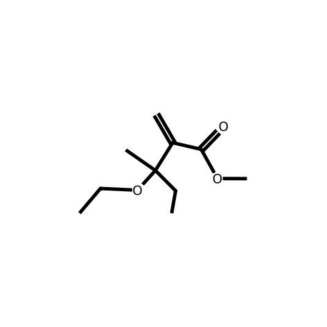 C=C(C(=O)OC)C(C)(CC)OCC